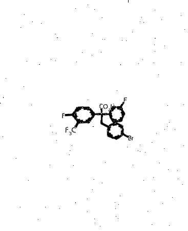 O=C(O)C(Cc1ccc(Br)cc1)(c1cccc(F)c1)c1ccc(F)c(C(F)(F)F)c1